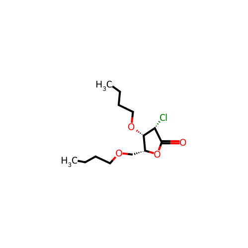 CCCCOC[C@H]1OC(=O)[C@@H](Cl)[C@H]1OCCCC